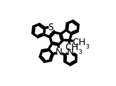 CC1(C)c2ccccc2-c2c1c1c(c3ccccc3n1-c1ccccn1)c1c2sc2ccccc21